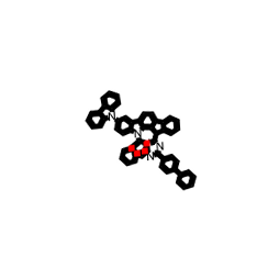 c1ccc(-c2ccc(-c3nc(-c4ccccc4)nc(C4c5ccccc5-c5ccc6c7cc(-n8c9ccccc9c9ccccc98)ccc7n(-c7ccccc7)c6c54)n3)cc2)cc1